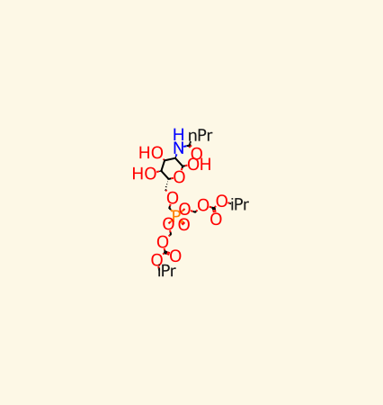 CCCC(=O)N[C@H]1C(O)O[C@H](COCP(=O)(OCOC(=O)OC(C)C)OCOC(=O)OC(C)C)[C@@H](O)[C@@H]1O